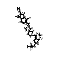 Cc1c(CN2CC[C@]3(CCN(c4ncnc5sc(CC(F)(F)F)cc45)C3)C2)ccc2[nH]c(C#N)cc12